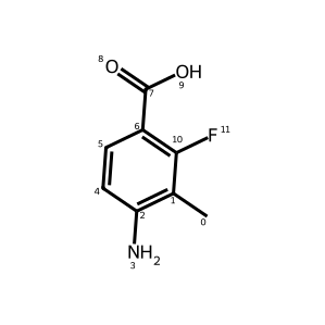 Cc1c(N)ccc(C(=O)O)c1F